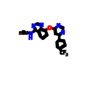 CCCCNc1ncnc2c(Oc3cc(-c4ccc(C(F)(F)F)cc4)ncn3)cccc12